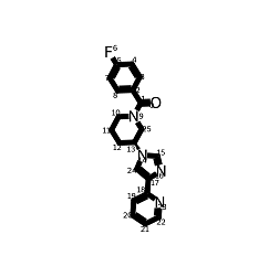 O=C(c1ccc(F)cc1)N1CCC[C@H](n2cnc(-c3ccccn3)c2)C1